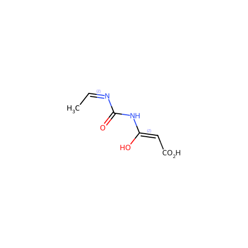 C/C=N\C(=O)N/C(O)=C/C(=O)O